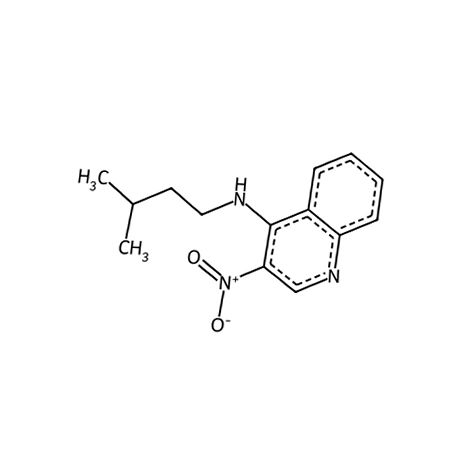 CC(C)CCNc1c([N+](=O)[O-])cnc2ccccc12